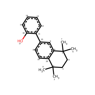 CC1(C)CCC(C)(C)c2cc(-c3ccccc3O)ccc21